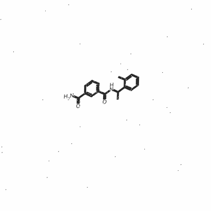 Cc1ccccc1C(C)NC(=O)c1cccc(C(N)=O)c1